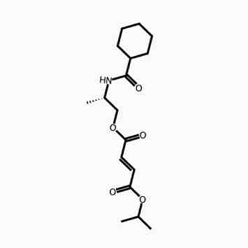 CC(C)OC(=O)/C=C/C(=O)OC[C@H](C)NC(=O)C1CCCCC1